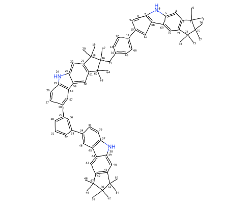 CC1(C)c2cc3[nH]c4ccc(-c5ccc(CC6(C)C(C)(C)c7cc8[nH]c9ccc(-c%10cccc(-c%11ccc%12[nH]c%13cc%14c(cc%13c%12c%11)C(C)(C)C(C)(C)C%14(C)C)c%10)cc9c8cc7C6(C)C)cc5)cc4c3cc2C(C)(C)C1(C)C